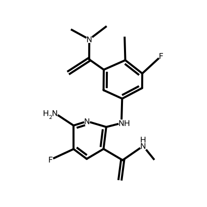 C=C(NC)c1cc(F)c(N)nc1Nc1cc(F)c(C)c(C(=C)N(C)C)c1